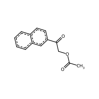 CC(=O)OCC(=O)c1ccc2ccccc2c1